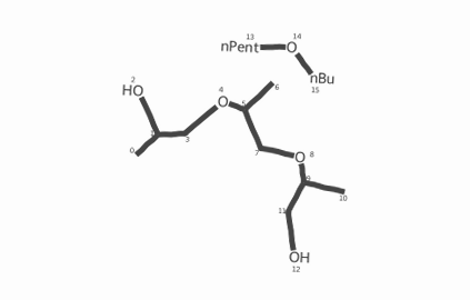 CC(O)COC(C)COC(C)CO.CCCCCOCCCC